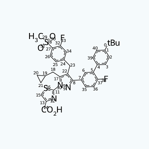 CC(C)(C)c1ccc(-c2cc(-c3nn(-c4nc(C(=O)O)cs4)c(CC4CC4)c3Cc3ccc(S(C)(=O)=O)c(F)c3)ccc2F)cc1